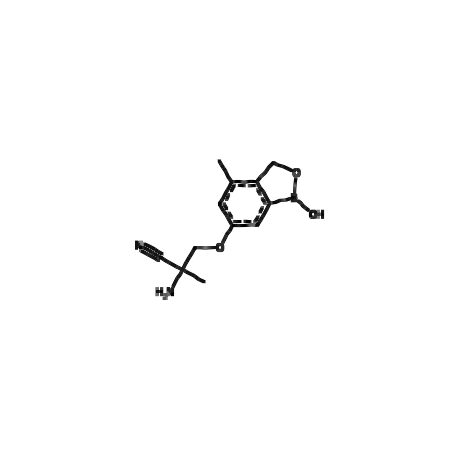 Cc1cc(OCC(C)(N)C#N)cc2c1COB2O